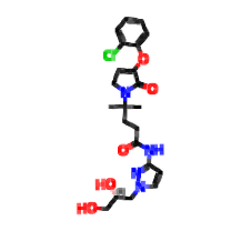 CC(C)(CCC(=O)Nc1ccn(C[C@@H](O)CO)n1)N1CC=C(Oc2ccccc2Cl)C1=O